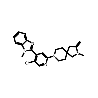 C=C1CC2(CCN(c3cc(-c4nc5ccccc5n4C)c(Cl)cn3)CC2)CN1C